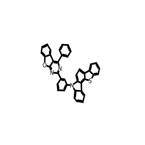 c1ccc(-c2nc(-c3cccc(-n4c5ccccc5c5c6sc7ccccc7c6ccc54)c3)nc3oc4ccccc4c23)cc1